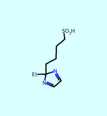 CCC1(CCCCS(=O)(=O)O)N=CC=N1